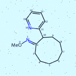 CON=C1CCCCCCCC1c1ccccn1